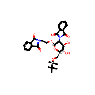 CC(C)(C)[Si](C)(C)OC[C@H]1O[C@H](OCCN2C(=O)c3ccccc3C2=O)[C@@H](N2C(=O)c3ccccc3C2=O)[C@@H](O)[C@@H]1O